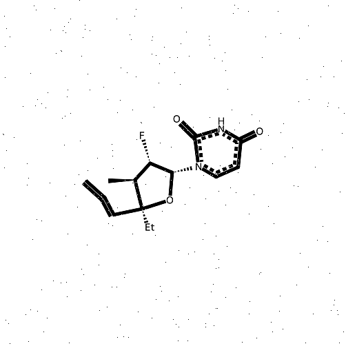 C=C=C[C@]1(CC)O[C@@H](n2ccc(=O)[nH]c2=O)[C@@H](F)[C@@H]1C